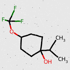 CC(C)C1(O)CCC(OC(F)(F)F)CC1